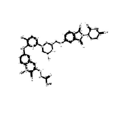 CC[C@@H]1CN(c2ncc(Cl)c(Nc3ccc4c(c3)cc(OCC(=O)NC)c(=O)n4C(C)C)n2)C[C@@H](COc2ccc3c(c2)C(=O)N(C2CCC(=O)NC2=O)C3=O)O1